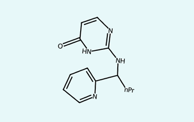 CCCC(Nc1nccc(=O)[nH]1)c1ccccn1